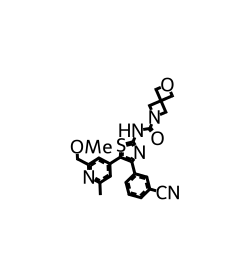 COCc1cc(-c2sc(NC(=O)N3CC4(COC4)C3)nc2-c2cccc(C#N)c2)cc(C)n1